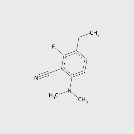 CCc1ccc(N(C)C)c(C#N)c1F